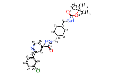 CC(C)(C)OC(=O)NC[C@H]1CC[C@H](CNC(=O)c2ccnc(-c3cccc(Cl)c3)c2)CC1